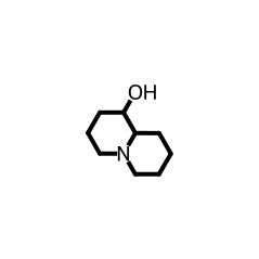 OC1CCCN2CCCCC12